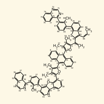 C=C(c1oc(-c2c3ccccc3c(-c3oc(-c4cccc5c4oc4c(-c6cccc(-c7ncnc8ccccc78)c6C)ccnc45)c(C)c3C)c3ccccc23)c(C)c1C)c1sc2c(-c3cccc(-c4ncnc5ccccc45)c3C)cccc2c1/C=C\C